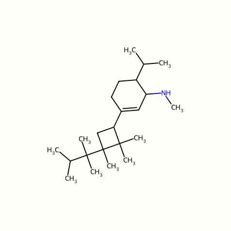 CNC1C=C(C2CC(C)(C(C)(C)C(C)C)C2(C)C)CCC1C(C)C